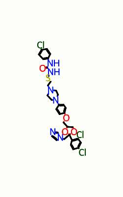 O=C(NSCCN1CCN(c2ccc(OCC3COC(Cn4ccnc4)(c4ccc(Cl)cc4Cl)O3)cc2)CC1)Nc1ccc(Cl)cc1